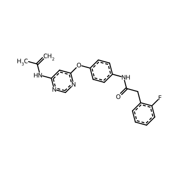 C=C(C)Nc1cc(Oc2ccc(NC(=O)Cc3ccccc3F)cc2)ncn1